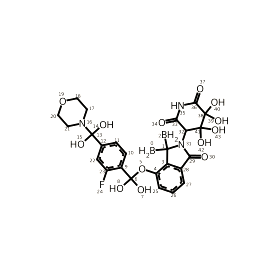 BC1(B)c2c(OC(O)(O)c3ccc(C(O)(O)N4CCOCC4)cc3F)cccc2C(=O)N1C1C(=O)NC(=O)C(O)(O)C1(O)O